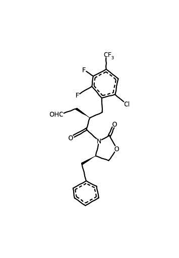 O=CC[C@@H](Cc1c(Cl)cc(C(F)(F)F)c(F)c1F)C(=O)N1C(=O)OC[C@H]1Cc1ccccc1